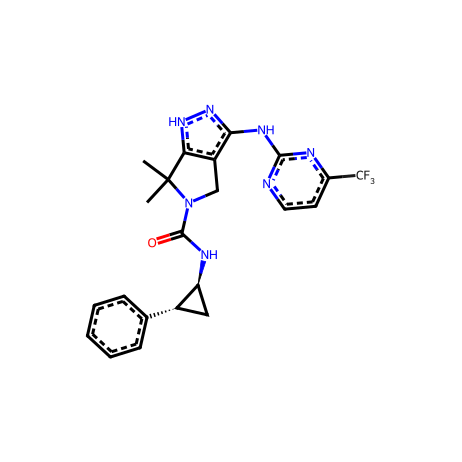 CC1(C)c2[nH]nc(Nc3nccc(C(F)(F)F)n3)c2CN1C(=O)N[C@H]1C[C@@H]1c1ccccc1